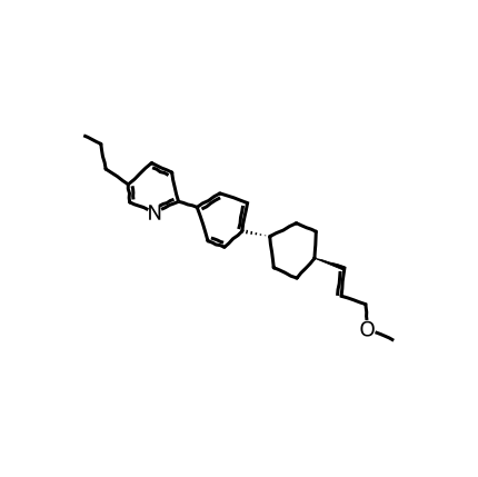 CCCc1ccc(-c2ccc([C@H]3CC[C@H](C=CCOC)CC3)cc2)nc1